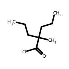 CCCC(C)(CCC)C(=O)Cl